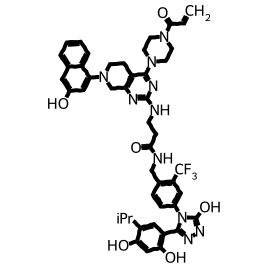 C=CC(=O)N1CCN(c2nc(NCCC(=O)NCc3ccc(-n4c(O)nnc4-c4cc(C(C)C)c(O)cc4O)cc3C(F)(F)F)nc3c2CCN(c2cc(O)cc4ccccc24)C3)CC1